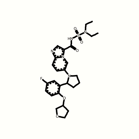 CCN(CC)S(=O)(=O)NC(=O)c1cnc2ccc(N3CCCC3c3cc(F)ccc3OC3CCOC3)cn12